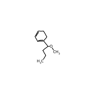 CCCC(OC)C1=CC=CCC1